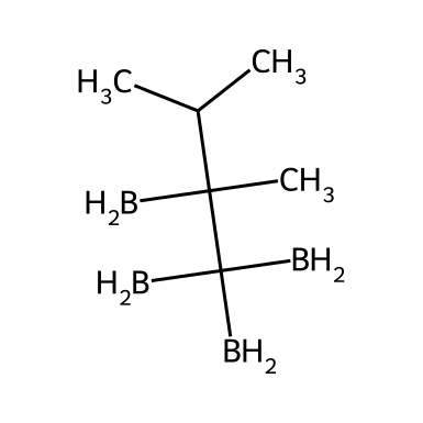 BC(B)(B)C(B)(C)C(C)C